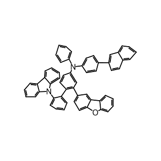 c1ccc(N(c2ccc(-c3ccc4ccccc4c3)cc2)c2ccc(-c3ccccc3-n3c4ccccc4c4ccccc43)c(-c3ccc4oc5ccccc5c4c3)c2)cc1